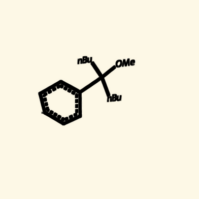 CCCCC(CCCC)(OC)c1cc[c]cc1